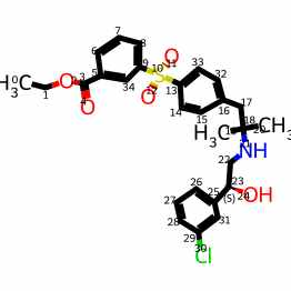 CCOC(=O)c1cccc(S(=O)(=O)c2ccc(CC(C)(C)NC[C@@H](O)c3cccc(Cl)c3)cc2)c1